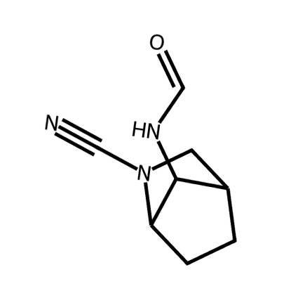 N#CN1CC2CCC1C2NC=O